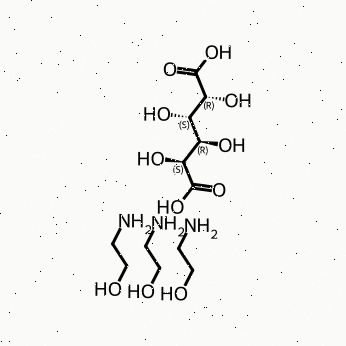 NCCO.NCCO.NCCO.O=C(O)[C@@H](O)[C@H](O)[C@H](O)[C@@H](O)C(=O)O